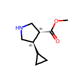 COC(=O)[C@H]1CNC[C@@H]1C1CC1